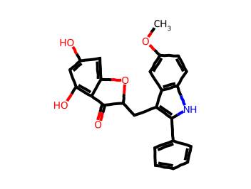 COc1ccc2[nH]c(-c3ccccc3)c(CC3Oc4cc(O)cc(O)c4C3=O)c2c1